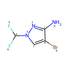 Nc1nn(C(F)F)cc1Br